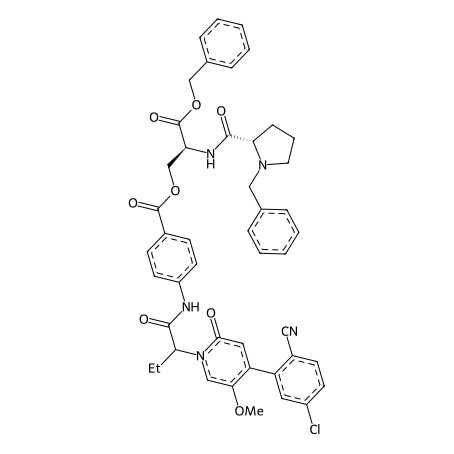 CCC(C(=O)Nc1ccc(C(=O)OC[C@H](NC(=O)[C@@H]2CCCN2Cc2ccccc2)C(=O)OCc2ccccc2)cc1)n1cc(OC)c(-c2cc(Cl)ccc2C#N)cc1=O